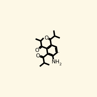 CC(C)C(=O)c1c[c]c(N)c(C(=O)C(C)C)c1C(=O)C(C)C